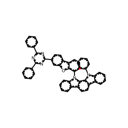 c1ccc(-c2nc(-c3ccccc3)nc(-c3ccc4c(c3)oc3c(-n5c6ccccc6c6ccc7c8ccccc8n(-c8ccccc8)c7c65)cccc34)n2)cc1